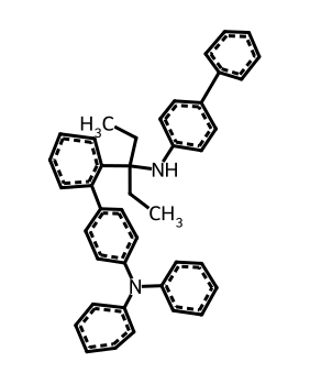 CCC(CC)(Nc1ccc(-c2ccccc2)cc1)c1ccccc1-c1ccc(N(c2ccccc2)c2ccccc2)cc1